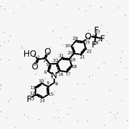 O=C(O)C(=O)c1cn(Cc2ccc(F)cc2)c2ccc(-c3ccc(OC(F)(F)F)cc3)cc12